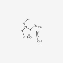 CCN(CC)CC=O.O=S(O)O